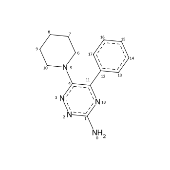 Nc1nnc(N2CCCCC2)c(-c2ccccc2)n1